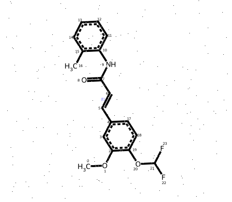 COc1cc(/C=C/C(=O)Nc2ccccc2C)ccc1OC(F)F